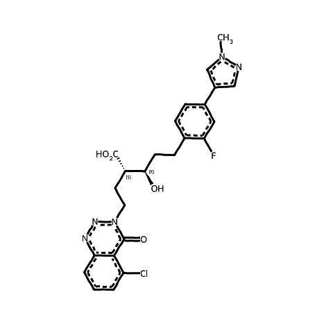 Cn1cc(-c2ccc(CC[C@@H](O)[C@H](CCn3nnc4cccc(Cl)c4c3=O)C(=O)O)c(F)c2)cn1